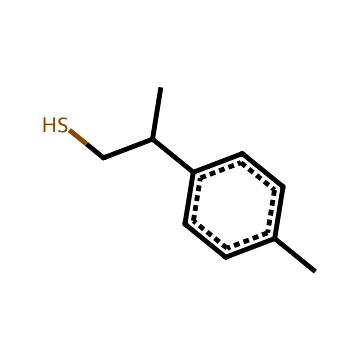 Cc1ccc(C(C)CS)cc1